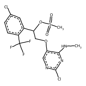 CNc1nc(Cl)ncc1OCC(OS(C)(=O)=O)c1cc(Cl)ccc1C(F)(F)F